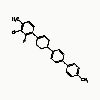 Cc1ccc(-c2ccc(C3CC=C(c4ccc(C)c(Cl)c4F)CC3)cc2)cc1